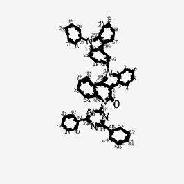 O=c1c2c3ccccc3n(-c3ccc4c(c3)c3ccccc3n4-c3ccccc3)c2c2ccccc2n1-c1nc(-c2ccccc2)nc(-c2ccccc2)n1